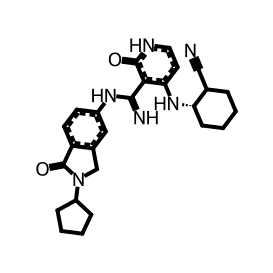 N#CC1CCCC[C@@H]1Nc1cc[nH]c(=O)c1C(=N)Nc1ccc2c(c1)CN(C1CCCC1)C2=O